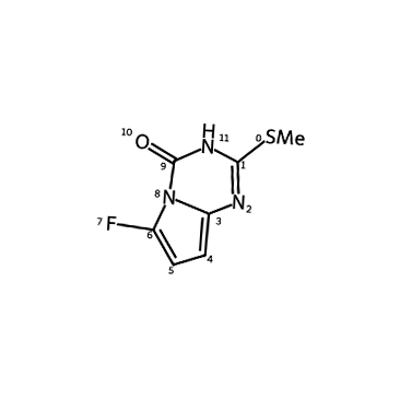 CSc1nc2ccc(F)n2c(=O)[nH]1